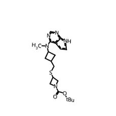 CN(c1ncnc2[nH]ccc12)C1CC(CSC2CN(C(=O)OC(C)(C)C)C2)C1